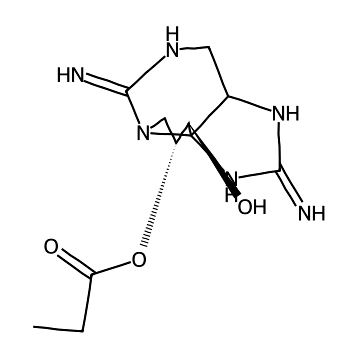 CCC(=O)O[C@@H]1CN2C(=N)NCC3NC(=N)NC32[C@@H]1O